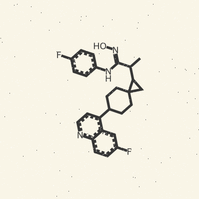 CC(/C(=N/O)Nc1ccc(F)cc1)C1CC12CCC(c1ccnc3ccc(F)cc13)CC2